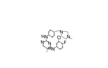 Cc1cnc(Nc2ccc(CN3CCN(C)CC3)cc2)nc1Nc1ccc(F)c(Cl)c1